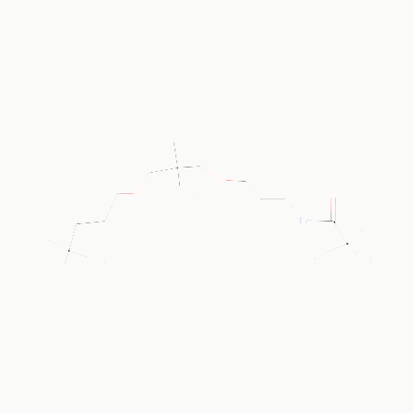 CC(C)(C)CCCOCC(C)(C)COCCCNC(=O)C(C)(C)C